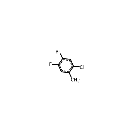 [CH2]c1cc(F)c(Br)cc1Cl